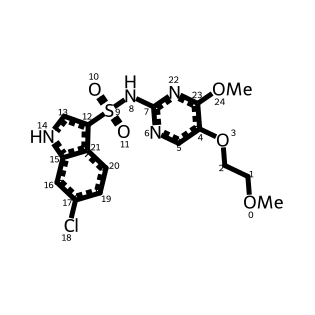 COCCOc1cnc(NS(=O)(=O)c2c[nH]c3cc(Cl)ccc23)nc1OC